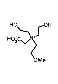 COCC[N+](CCO)(CCO)CC(=O)O